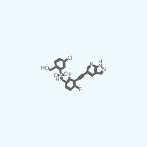 O=S(=O)(Nc1ccc(F)c(C#Cc2cnc3[nH]ncc3c2)c1F)c1cc(Cl)ccc1CO